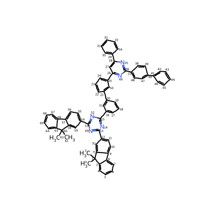 CC1(C)c2ccccc2-c2ccc(-c3nc(-c4cccc(-c5cccc(-c6cc(-c7ccccc7)nc(-c7ccc(-c8ccccc8)cc7)n6)c5)c4)nc(-c4ccc5c(c4)C(C)(C)c4ccccc4-5)n3)cc21